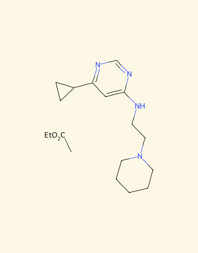 CCOC(C)=O.c1nc(NCCN2CCCCC2)cc(C2CC2)n1